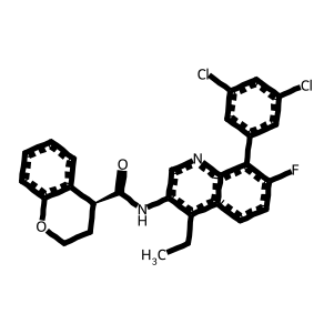 CCc1c(NC(=O)[C@H]2CCOc3ccccc32)cnc2c(-c3cc(Cl)cc(Cl)c3)c(F)ccc12